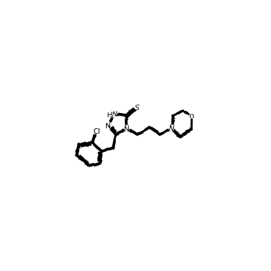 S=c1[nH]nc(Cc2ccccc2Cl)n1CCCN1CCOCC1